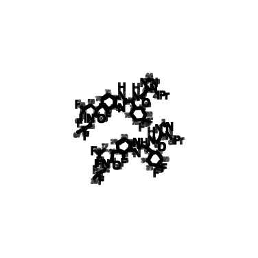 CC(C)n1ncnc1C(=O)N[C@H](c1nc2c(F)c([C@@H](CC(F)F)C(=O)NCC(C)(F)F)ccc2[nH]1)C1CCC(F)(F)CC1.CC(C)n1ncnc1C(=O)N[C@H](c1nc2c(F)c([C@H](CC(F)F)C(=O)NCC(C)(F)F)ccc2[nH]1)C1CCC(F)(F)CC1